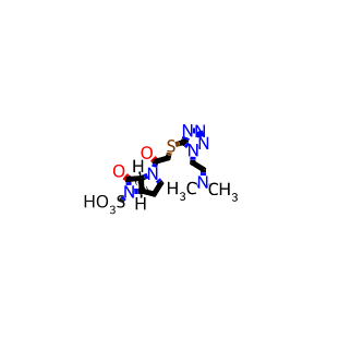 CN(C)CCn1nnnc1SCC(=O)N1CC[C@@H]2[C@H]1C(=O)N2S(=O)(=O)O